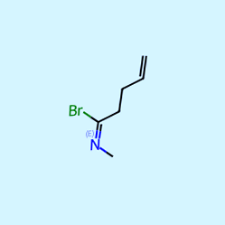 C=CCC/C(Br)=N\C